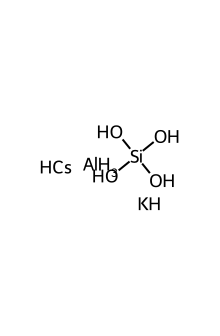 O[Si](O)(O)O.[AlH3].[CsH].[KH]